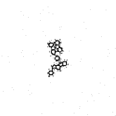 c1ccc(-n2ccc3c2ccc2c4ccccc4n(-c4ccc(-c5ccc6c(c5)C5(c7ccccc7-c7ccccc75)c5ccccc5-6)cc4)c23)cc1